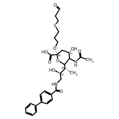 CC(=O)NC1C([C@H](C)[C@H](O)CNC(=O)c2ccc(-c3ccccc3)cc2)O[C@@](OCCCSCCC=O)(C(=O)O)C[C@@H]1O